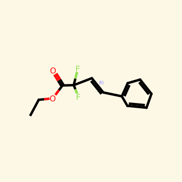 CCOC(=O)C(F)(F)/C=C/c1ccccc1